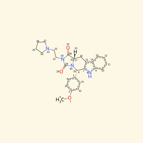 COc1ccc([C@H]2c3[nH]c4ccccc4c3C[C@H]3C(=O)N(CCN4CCCC4)C(=O)N23)cc1